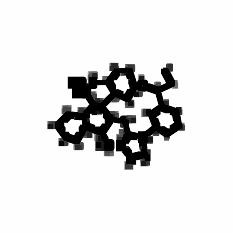 C=CC(=O)c1cccc(-n2nnnc2Sc2c(-c3ccccc3S(=O)(=O)O)c(O)c3ccccc3c2O)c1